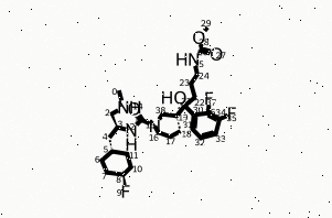 CNC[C@H](C[C@H]1CC[C@H](F)CC1)NC(=O)N1CCC[C@@H]([C@@](O)(CCCNC(=O)OC)c2cccc(F)c2F)C1